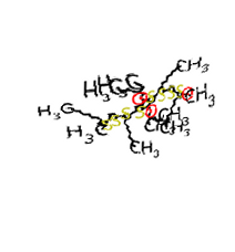 CCCCCCCCc1cc(C)sc1-c1ccc(-c2sc(-c3cc4c(OCC(CC)CCCC)c5sc(-c6cc(CCCCCCCC)c(-c7ccc(-c8sc(OC)cc8CCCCCCCC)s7)s6)cc5c(OCC(CC)CCCC)c4s3)cc2CCCCCCCC)s1